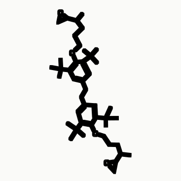 CC(CCCOc1c(C(C)(C)C)cc(CCc2cc(C(C)(C)C)c(OCCCC(C)C3CO3)c(C(C)(C)C)c2)cc1C(C)(C)C)C1CO1